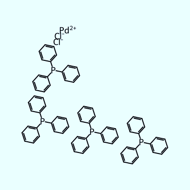 [Cl-].[Cl-].[Pd+2].c1ccc(P(c2ccccc2)c2ccccc2)cc1.c1ccc(P(c2ccccc2)c2ccccc2)cc1.c1ccc(P(c2ccccc2)c2ccccc2)cc1.c1ccc(P(c2ccccc2)c2ccccc2)cc1